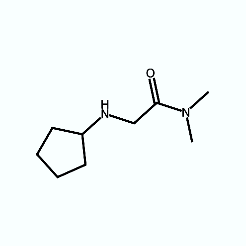 CN(C)C(=O)CNC1CCCC1